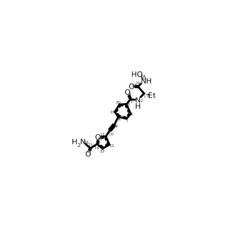 CC[C@H](NC(=O)c1ccc(C#Cc2ccc(C(N)=O)o2)cc1)C(=O)NO